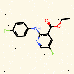 CCOC(=O)c1cc(F)cnc1Nc1ccc(F)cc1